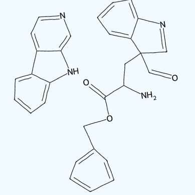 NC(CC1(C=O)C=Nc2ccccc21)C(=O)OCc1ccccc1.c1ccc2c(c1)[nH]c1cnccc12